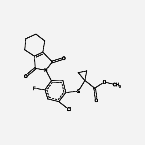 COC(=O)C1(Sc2cc(N3C(=O)C4=C(CCCC4)C3=O)c(F)cc2Cl)CC1